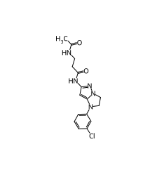 CC(=O)NCCC(=O)Nc1cc2n(n1)CCN2c1cccc(Cl)c1